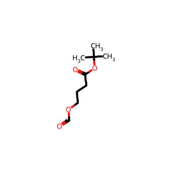 CC(C)(C)OC(=O)CCCOC=O